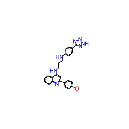 COc1ccc(-c2cc(NCCCNc3ccc(-c4nn[nH]n4)cc3)c3ccccc3n2)cc1